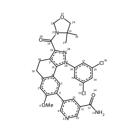 COc1cc2c(cc1-c1cncc(C(N)=O)c1)-c1c(c(C(=O)N3COCC3(C)C)nn1-c1cc(Cl)cc(Cl)c1)CC2